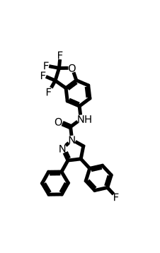 O=C(Nc1ccc2c(c1)C(F)(F)C(F)(F)O2)N1CC(c2ccc(F)cc2)C(c2ccccc2)=N1